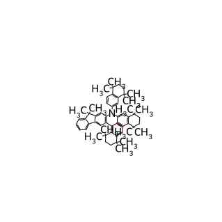 CC1(C)CCC(C)(C)c2cc(N(c3ccc4c(c3)C(C)(C)CCC4(C)C)c3cc4c(cc3-c3cccc5c3C(C)(C)CCC5(C)C)-c3ccccc3C4(C)C)ccc21